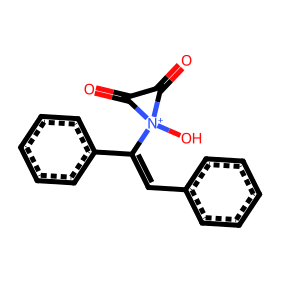 O=C1C(=O)[N+]1(O)C(=Cc1ccccc1)c1ccccc1